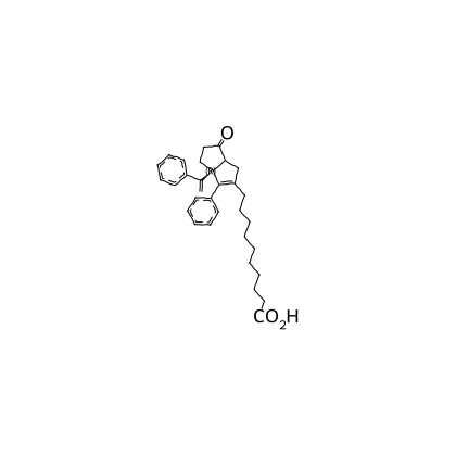 C=C(c1ccccc1)[C@@]12CCC(=O)C1CC(CCCCCCCCCC(=O)O)=C2c1ccccc1